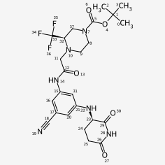 CC(C)(C)OC(=O)N1CCN(CC(=O)Nc2cc(C#N)cc(N[C@@H]3CCC(=O)NC3=O)c2)[C@@H](C(F)(F)F)C1